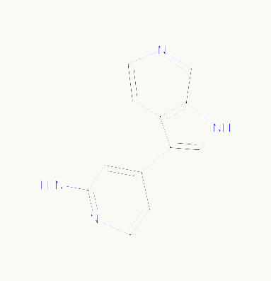 Nc1cc(-c2c[nH]c3cnccc23)ccn1